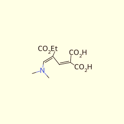 CCOC(=O)C(=CN(C)C)C=C(C(=O)O)C(=O)O